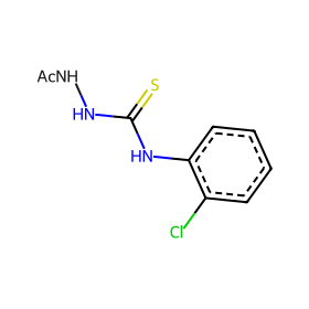 CC(=O)NNC(=S)Nc1ccccc1Cl